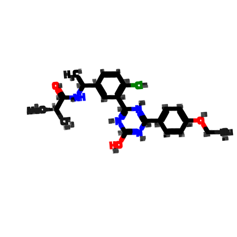 CO[C@H](C(=O)NC(C)c1ccc(Cl)c(-c2nc(O)nc(-c3ccc(OCC(C)(C)C)cc3)n2)c1)C(F)(F)F